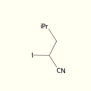 CC(C)CC(I)C#N